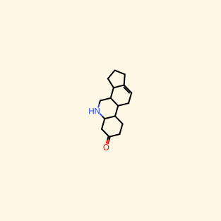 O=C1CCC2C(C1)NCC1C3CCCC3=CCC21